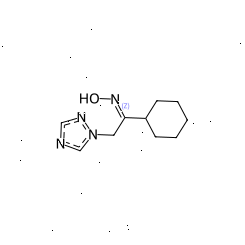 O/N=C(\Cn1cncn1)C1CCCCC1